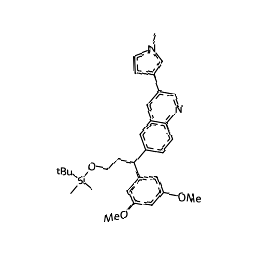 COc1cc(OC)cc(C(CCO[Si](C)(C)C(C)(C)C)c2ccc3ncc(-c4ccn(C)c4)cc3c2)c1